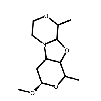 CO[C@H]1CC2C(OC3C(C)OCCN23)C(C)O1